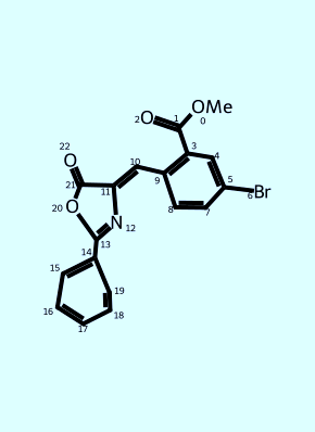 COC(=O)c1cc(Br)ccc1C=C1N=C(c2ccccc2)OC1=O